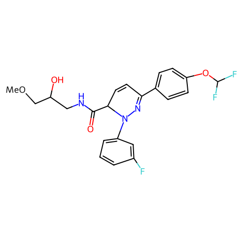 COCC(O)CNC(=O)C1C=CC(c2ccc(OC(F)F)cc2)=NN1c1cccc(F)c1